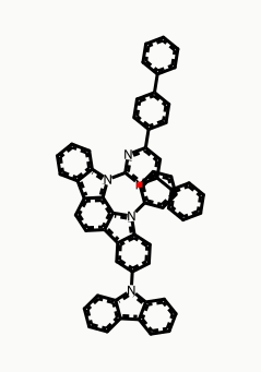 c1ccc(-c2ccc(-c3cc(-c4ccccc4)nc(-n4c5ccccc5c5ccc6c7cc(-n8c9ccccc9c9ccccc98)ccc7n(-c7ccccc7)c6c54)n3)cc2)cc1